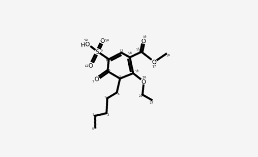 CCCCCC1C(=O)C(S(=O)(=O)O)=CC(C(=O)OC)=C1OCC